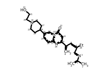 C=C(C)/N=C/C(=C\C(=C)c1cc(=O)n2cc(C3CCN(CCO)CC3)ccc2n1)CC